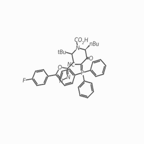 CCCC[C@@H](C(=O)C(C#N)=P(c1ccccc1)(c1ccccc1)c1ccccc1)N(C(=O)O)C(Cc1nnc(-c2ccc(F)cc2)o1)C(C)(C)C